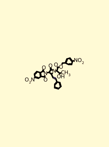 CC(O)C(C(=O)OCc1ccc([N+](=O)[O-])cc1)N1C(=O)C(N2C(=O)c3ccc([N+](=O)[O-])cc3C2=O)C1/C=C/c1ccccc1